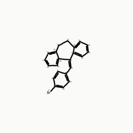 Brc1ccc(C=C2c3ccccc3CCc3ccccc32)cc1